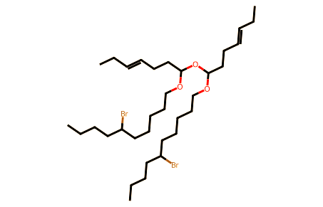 CCC=CCCC(OCCCCCC(Br)CCCC)OC(CCC=CCC)OCCCCCC(Br)CCCC